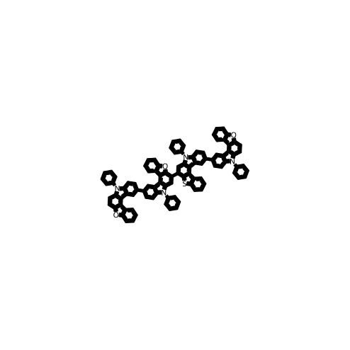 c1ccc(-n2c3ccc(-c4ccc5c(c4)c4c6c(oc7ccccc76)c(-c6cc7c(c8cc(-c9ccc%10c(c9)c9c%11c(ccc9n%10-c9ccccc9)oc9ccccc9%11)ccc8n7-c7ccccc7)c7c6sc6ccccc67)cc4n5-c4ccccc4)cc3c3c4c(ccc32)oc2ccccc24)cc1